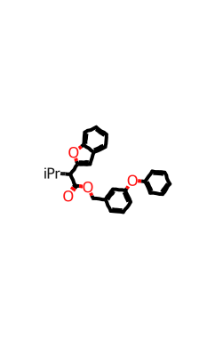 CC(C)C(C(=O)OCc1cccc(Oc2ccccc2)c1)c1cc2ccccc2o1